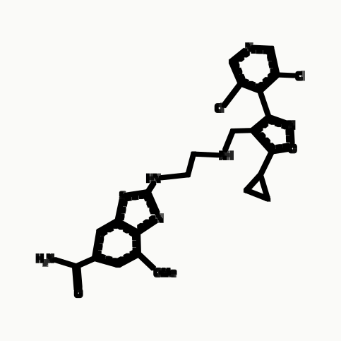 COc1cc(C(N)=O)cc2sc(NCCNCc3c(-c4c(Cl)cncc4Cl)noc3C3CC3)nc12